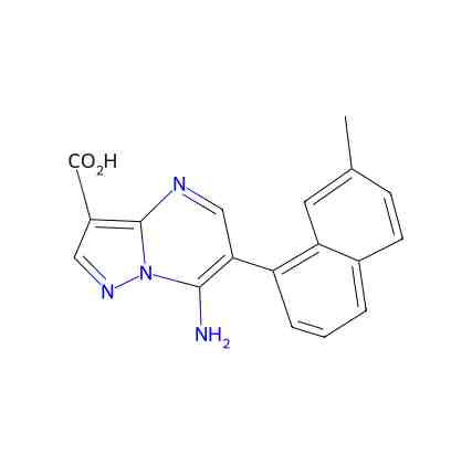 Cc1ccc2cccc(-c3cnc4c(C(=O)O)cnn4c3N)c2c1